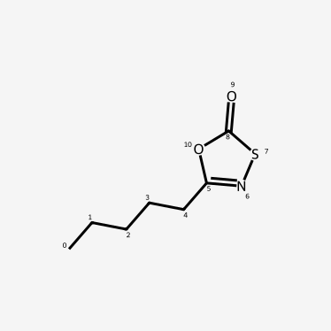 CCCCCc1nsc(=O)o1